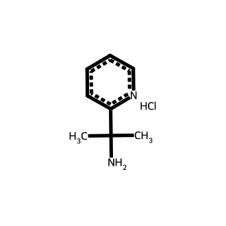 CC(C)(N)c1ccccn1.Cl